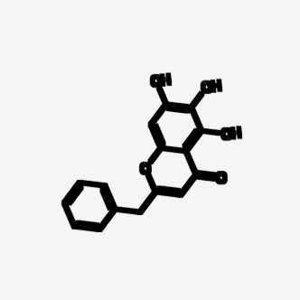 O=c1cc(Cc2ccccc2)oc2cc(O)c(O)c(O)c12